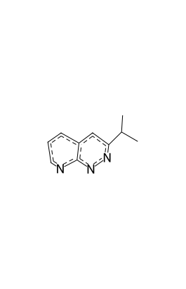 CC(C)c1cc2cccnc2nn1